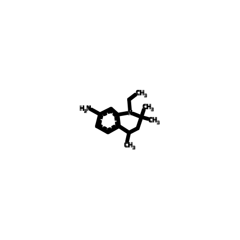 CCN1c2cc(N)ccc2C(C)CC1(C)C